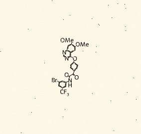 COc1cc2ncnc(Oc3ccc(C(=O)C(=O)Nc4cc(Br)cc(C(F)(F)F)c4)cc3)c2cc1OC